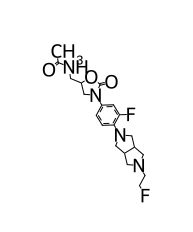 CC(=O)NCC1CN(c2ccc(N3CC4CN(CCF)CC4C3)c(F)c2)C(=O)O1